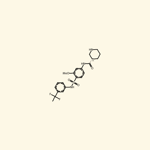 COc1cc(NC(=O)[C@H]2CCCNC2)ccc1S(=O)(=O)Nc1cccc(C(C)(F)F)c1